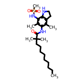 CCCCCCCCCC(C)(C)C(=O)Nc1c(C)c2c(c(NS(C)(=O)=O)c1C)NCC2